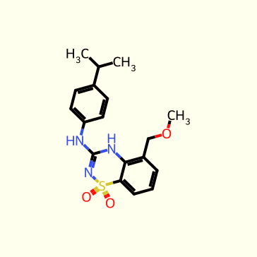 COCc1cccc2c1NC(Nc1ccc(C(C)C)cc1)=NS2(=O)=O